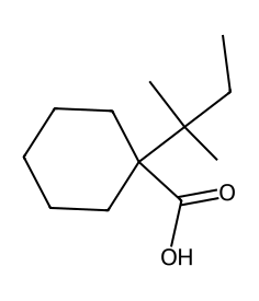 CCC(C)(C)C1(C(=O)O)CCCCC1